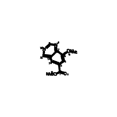 COC(=O)c1cc(OC)c2ncncc2c1